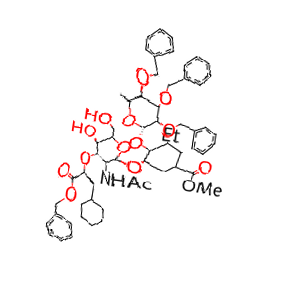 CCC1CC(C(=O)OC)C[C@@H](O[C@@H]2OC(CO)[C@H](O)C(O[C@@H](CC3CCCCC3)C(=O)OCc3ccccc3)C2NC(C)=O)C1O[C@@H]1OC(C)[C@@H](OCc2ccccc2)C(OCc2ccccc2)C1OCc1ccccc1